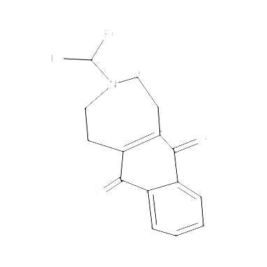 CCC(CC)N1CCC2=C(CC1)C(=O)c1ccccc1C2=O